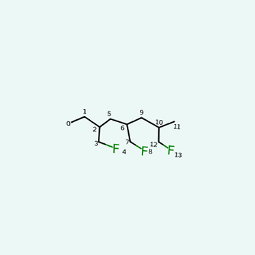 CCC(CF)CC(CF)CC(C)CF